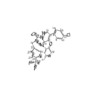 Cc1ccc(Oc2c(-c3ccc(Cl)cc3)cnn3c(=O)n(Cc4ccc(C(F)(F)F)nc4)nc23)cn1